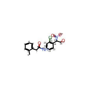 Cc1ccccc1CC(=O)Nc1ccc(C(C=O)[N+](=O)[O-])c(Cl)c1